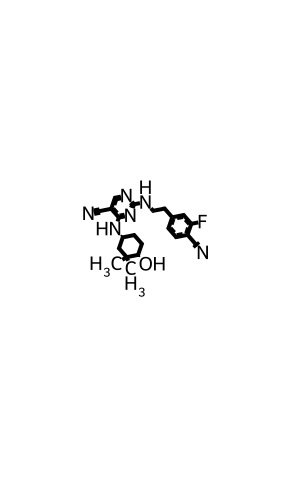 CC1(C)C[C@H](Nc2nc(NCCc3ccc(C#N)c(F)c3)ncc2C#N)CC[C@@H]1O